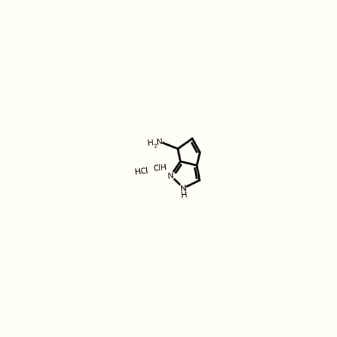 Cl.Cl.NC1C=Cc2c[nH]nc21